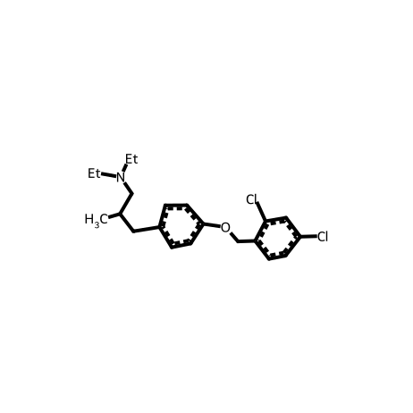 CCN(CC)CC(C)Cc1ccc(OCc2ccc(Cl)cc2Cl)cc1